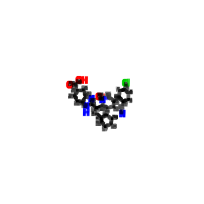 N#Cc1ccc(Cl)cc1-c1ccc([C@H](Cc2ccccc2)c2nc3cc(C(=O)O)ccc3[nH]2)[n+]([O-])c1